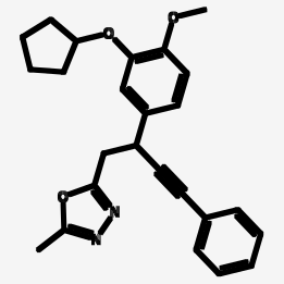 COc1ccc(C(C#Cc2ccccc2)Cc2nnc(C)o2)cc1OC1CCCC1